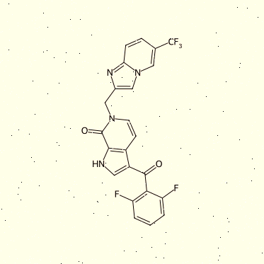 O=C(c1c(F)cccc1F)c1c[nH]c2c(=O)n(Cc3cn4cc(C(F)(F)F)ccc4n3)ccc12